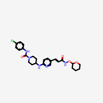 O=C(C=Cc1ccc(NC2CCN(C(=O)Nc3ccc(Cl)cc3)CC2)nc1)NOC1CCCCO1